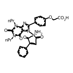 CCCn1c(=O)c2c(nc(-c3ccc(OCC(=O)O)cc3)n2[N+]2(N)C(=O)C=C(c3ccccc3)C2=O)n(CCC)c1=O